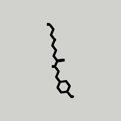 CC(C)CCOCCCC(=O)NCCC1CCN(C(C)C)CC1